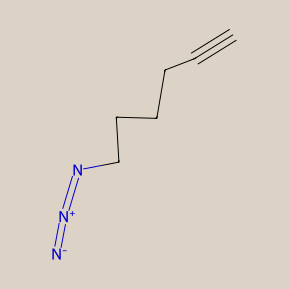 C#CCCCCN=[N+]=[N-]